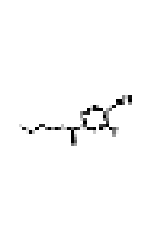 C=C(CCCCC)c1ccc(C#N)c(F)c1